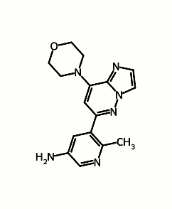 Cc1ncc(N)cc1-c1cc(N2CCOCC2)c2nccn2n1